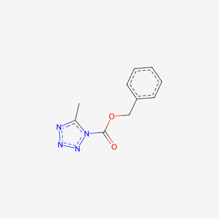 Cc1nnnn1C(=O)OCc1ccccc1